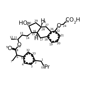 CC(C)Cc1ccc(C(C)C(=O)O[C@@H](C)CC[C@@H]2[C@H]3Cc4cccc(OCC(=O)O)c4C[C@H]3C[C@H]2O)cc1